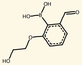 O=Cc1cccc(OCCO)c1B(O)O